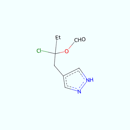 CCC(Cl)(Cc1cn[nH]c1)OC=O